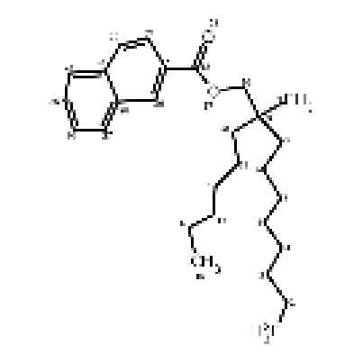 CCCCCCCCC(C)(CCCCCC)COC(=O)c1ccc2ccccc2c1